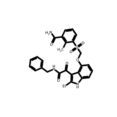 CCc1[nH]c2cccc(OCS(=O)(=O)c3cccc(C(N)=O)c3C)c2c1C(=O)C(=O)NCc1ccccc1